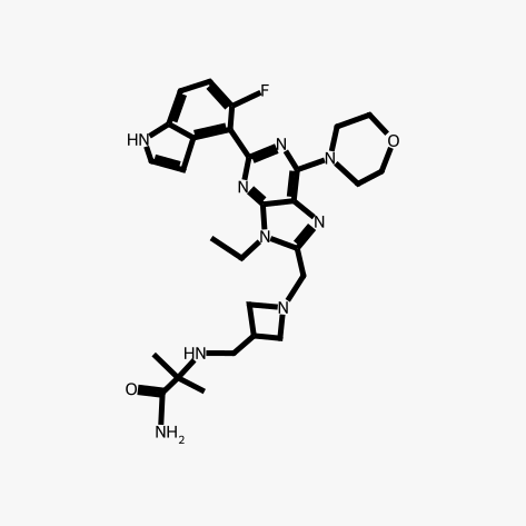 CCn1c(CN2CC(CNC(C)(C)C(N)=O)C2)nc2c(N3CCOCC3)nc(-c3c(F)ccc4[nH]ccc34)nc21